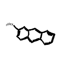 CCCCCCc1ccc2cc3[c]cccc3cc2c1